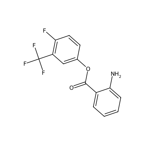 Nc1ccccc1C(=O)Oc1ccc(F)c(C(F)(F)F)c1